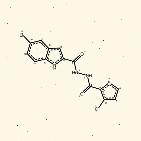 O=C(NNC(=O)c1sccc1Cl)c1cc2cc(Cl)ccc2[nH]1